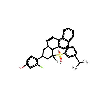 CC(C)c1cccc(S(=O)(=O)C2(C)CC(c3ccc(Br)cc3F)CC3C=Cc4c(ccc5ccccc45)C32)c1